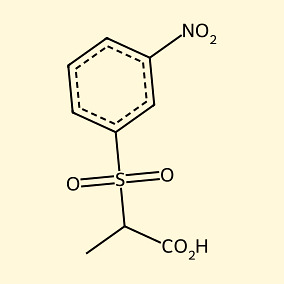 CC(C(=O)O)S(=O)(=O)c1cccc([N+](=O)[O-])c1